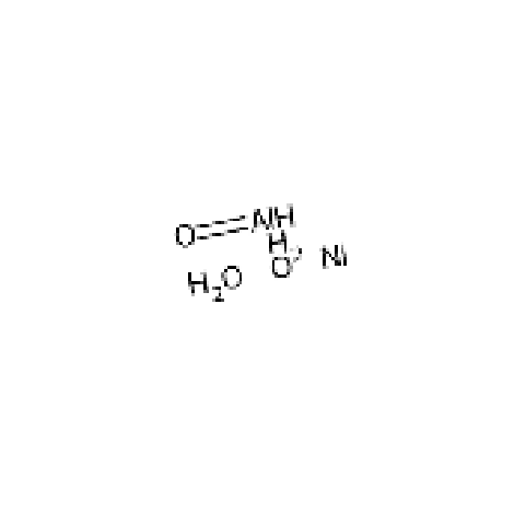 O.O.[Ni].[O]=[AlH]